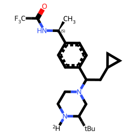 [2H]N1CCN(C(CC2CC2)c2ccc([C@H](C)NC(=O)C(F)(F)F)cc2)CC1C(C)(C)C